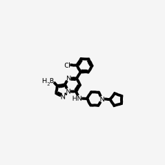 Bc1cnn2c(NC3CCN(C4CCCC4)CC3)cc(-c3ccccc3Cl)nc12